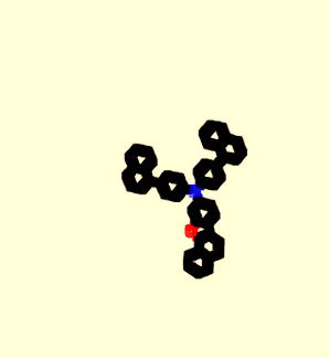 c1ccc2c(-c3ccc(N(c4ccc(-c5cccc6ccccc56)cc4)c4ccc5c(c4)oc4c6ccccc6ccc54)cc3)cccc2c1